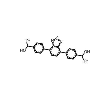 CC(C)C(O)c1ccc(-c2ccc(-c3ccc(C(O)C(C)C)cc3)c3nsnc23)cc1